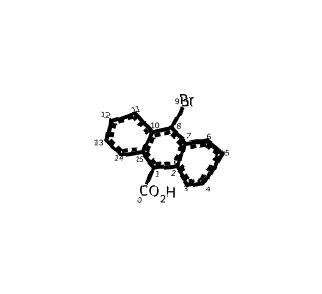 O=C(O)c1c2ccccc2c(Br)c2ccccc12